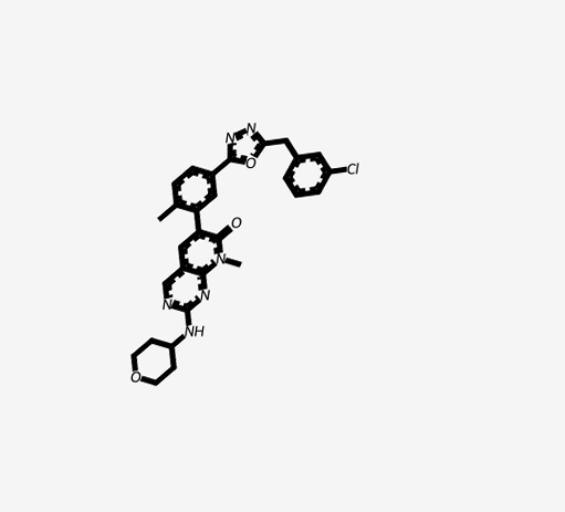 Cc1ccc(-c2nnc(Cc3cccc(Cl)c3)o2)cc1-c1cc2cnc(NC3CCOCC3)nc2n(C)c1=O